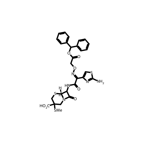 CSC1(C(=O)O)CS[C@@H]2C(NC(=O)C(=NOCC(=O)OC(c3ccccc3)c3ccccc3)c3csc(N)n3)C(=O)N2C1